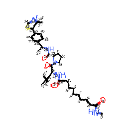 CNC(=O)CCCCCCCCC(=O)N[C@H](C(=O)N1CCC[C@H]1C(=O)N[C@@H](C)c1ccc(-c2scnc2C)cc1)C(C)(C)C